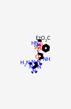 CCOC(=O)[C@H](C)NP(=S)(OC[C@@H]1CC(=N)[C@H](n2cnc3c(N(C)C)nc(N)nc32)O1)Oc1ccccc1